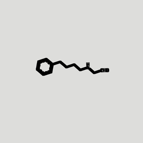 O=CCNCCCCc1ccccc1